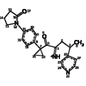 CC(CC(=N)C(=O)C1(c2ccc(N3CCCC3=O)cc2)CC1)c1ccncc1